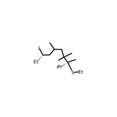 CCS[C@@](C)(C(C)C)C(C)(C)CC(C)C[C@@H](I)CC